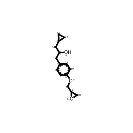 OC(Cc1ccc(OCC2CO2)cc1)CC1CC1